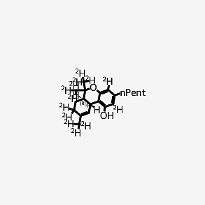 [2H]c1c(O)c2c(c([2H])c1CCCCC)OC(C([2H])([2H])[2H])(C([2H])([2H])[2H])[C@@H]1CC([2H])([2H])C(C([2H])([2H])[2H])=C[C@@H]21